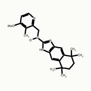 COc1ccnc(C[S+]([O-])c2nc3cc4c(cc3[nH]2)C(C)(C)CCC4(C)C)c1C